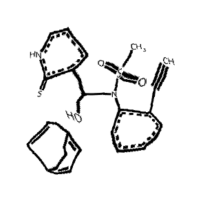 C#Cc1ccccc1N(C(O)c1ccc[nH]c1=S)S(C)(=O)=O.C1=CC2=CC=C1C2